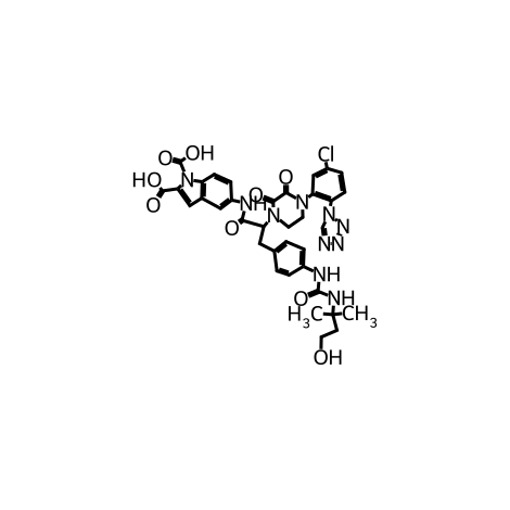 CC(C)(CCO)NC(=O)Nc1ccc(CC(C(=O)Nc2ccc3c(c2)cc(C(=O)O)n3C(=O)O)N2CCN(c3cc(Cl)ccc3-n3cnnn3)C(=O)C2=O)cc1